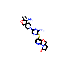 C[C@@H]1OCC2(CCN(c3cnc(Sc4ccnc5c4OCC4CCC(=O)N54)c(N)n3)CC2)[C@@H]1N